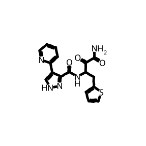 NC(=O)C(=O)C(Cc1cccs1)NC(=O)c1n[nH]cc1-c1ccccn1